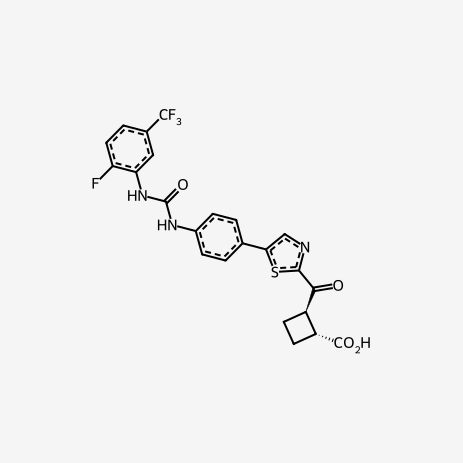 O=C(Nc1ccc(-c2cnc(C(=O)[C@@H]3CC[C@H]3C(=O)O)s2)cc1)Nc1cc(C(F)(F)F)ccc1F